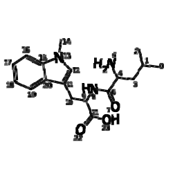 CC(C)CC(N)C(=O)NC(Cc1cn(C)c2ccccc12)C(=O)O